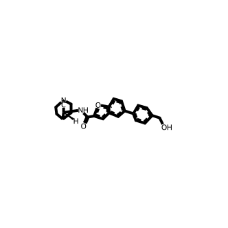 O=C(N[C@H]1CN2CCC1CC2)c1cc2cc(-c3ccc(CO)cc3)ccc2o1